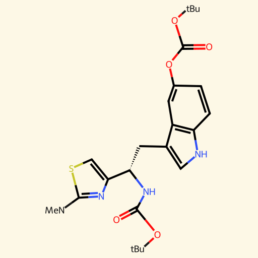 CNc1nc([C@H](Cc2c[nH]c3ccc(OC(=O)OC(C)(C)C)cc23)NC(=O)OC(C)(C)C)cs1